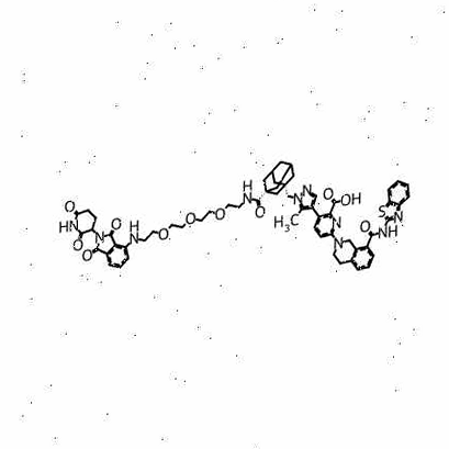 Cc1c(-c2ccc(N3CCc4cccc(C(=O)Nc5nc6ccccc6s5)c4C3)nc2C(=O)O)cnn1C[C@]12CC3CC(C1)C[C@](C(=O)NCCOCCOCCOCCNc1cccc4c1C(=O)N(C1CCC(=O)NC1=O)C4=O)(C3)C2